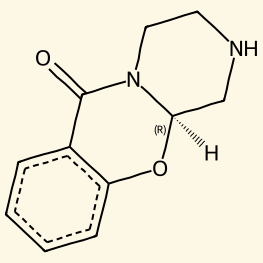 O=C1c2ccccc2O[C@@H]2CNCCN12